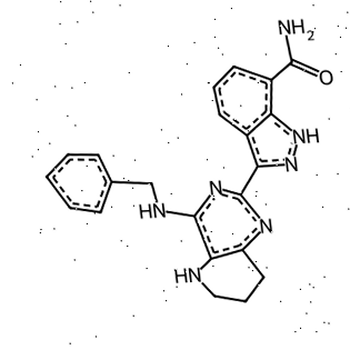 NC(=O)c1cccc2c(-c3nc4c(c(NCc5ccccc5)n3)NCCC4)n[nH]c12